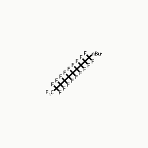 CCC[CH]C(F)(F)C(F)(F)C(F)(F)C(F)(F)C(F)(F)C(F)(F)C(F)(F)C(F)(F)C(F)(F)C(F)(F)F